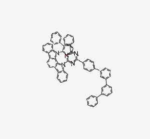 c1ccc(-c2cccc(-c3cccc(-c4ccc(-c5nc(-c6ccccc6)nc(-n6c7ccccc7c7ccc8c9ccccc9n(-c9ccccc9-c9ccccc9)c8c76)n5)cc4)c3)c2)cc1